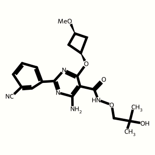 CO[C@H]1C[C@@H](Oc2nc(-c3cccc(C#N)c3)nc(N)c2C(=O)NOCC(C)(C)O)C1